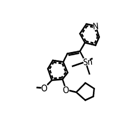 COc1ccc(C=[C](c2ccncc2)[Sn]([CH3])([CH3])[CH3])cc1OC1CCCC1